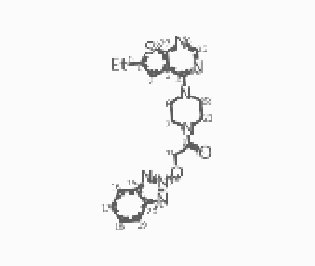 CCc1cc2c(N3CCN(C(=O)COn4nc5ccccc5n4)CC3)ncnc2s1